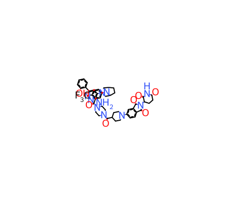 Nc1nnc(-c2ccccc2O)cc1N1CC2CCC(C1)N2c1ccc(C(F)(F)F)c(C(=O)N2CCN(C(=O)C3CCN(c4ccc5c(c4)C(=O)N(C4CCC(=O)NC4=O)C5=O)CC3)CC2)c1